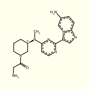 CN(c1ccnc(-c2cnc3ccc(N)cn23)n1)[C@@H]1CCCN(C(=O)CN)C1